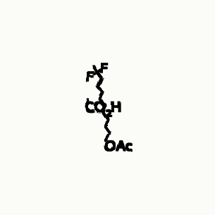 CC(=O)O.CC(=O)OCCCCCCCCC=CC(C)(F)F